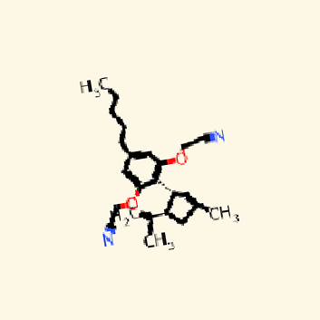 C=C(C)[C@@H]1CC(C)=C[C@H]1c1c(OCC#N)cc(CCCCC)cc1OCC#N